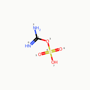 N=C(N)OS(=O)(=O)O